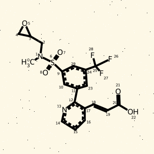 CN(CC1CO1)S(=O)(=O)c1cc(-c2ncccc2C=CC(=O)O)cc(C(F)(F)F)c1